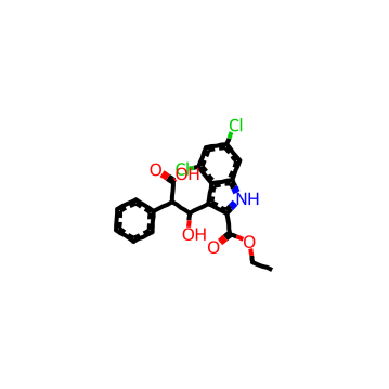 CCOC(=O)c1[nH]c2cc(Cl)cc(Cl)c2c1C(O)C(C(=O)O)c1ccccc1